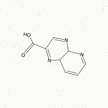 O=C(O)C1=NC2C=CC=NC2N=C1